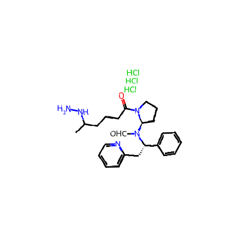 CC(CCCC(=O)N1CCC[C@H]1N(C=O)[C@@H](Cc1ccccn1)c1ccccc1)NN.Cl.Cl.Cl